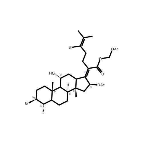 CC(=O)OCOC(=O)/C(CCC(Br)=C(C)C)=C1/C2C[C@@H](O)C3[C@@]4(C)CC[C@H](Br)[C@@H](C)C4CC[C@]3(C)[C@@]2(C)C[C@@H]1OC(C)=O